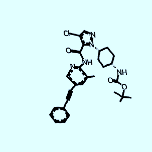 Cc1cc(C#Cc2ccccc2)cnc1NC(=O)c1c(Cl)cnn1[C@H]1CC[C@@H](NC(=O)OC(C)(C)C)CC1